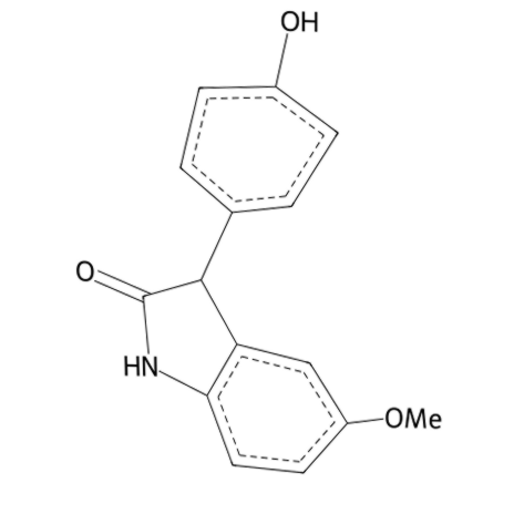 COc1ccc2c(c1)C(c1ccc(O)cc1)C(=O)N2